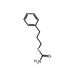 NC(=O)SCCCc1ccccc1